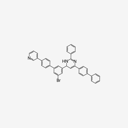 Brc1cc(-c2ccc(-c3cccnc3)cc2)cc(C2C=C(c3ccc(-c4ccccc4)cc3)N=C(c3ccccc3)N2)c1